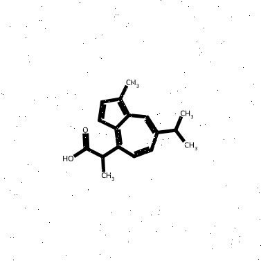 Cc1ccc2c(C(C)C(=O)O)ccc(C(C)C)cc1-2